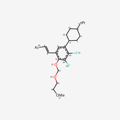 CCCC1CCC(c2cc(C=CC(C)=O)c(OCOCCOC)c(F)c2F)CC1